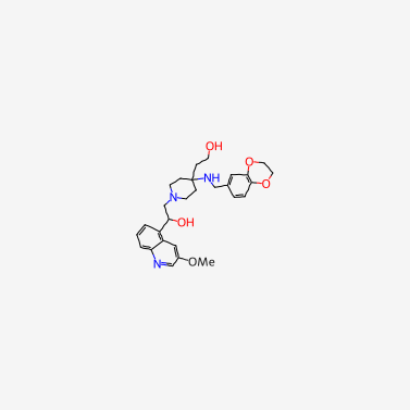 COc1cnc2cccc(C(O)CN3CCC(CCO)(NCc4ccc5c(c4)OCCO5)CC3)c2c1